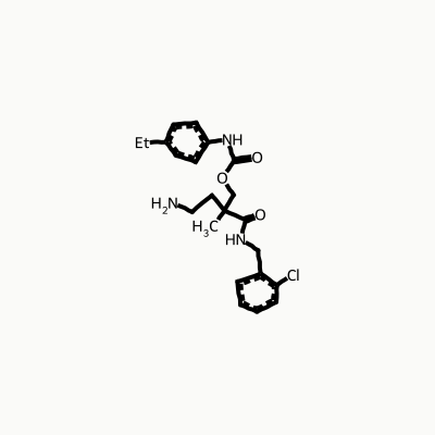 CCc1ccc(NC(=O)OCC(C)(CCN)C(=O)NCc2ccccc2Cl)cc1